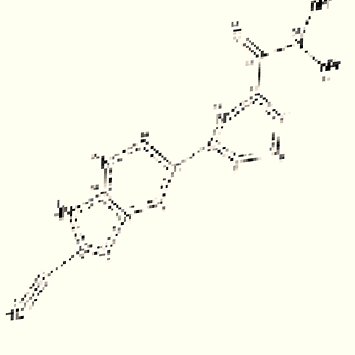 C#Cc1cc2cc(-c3cccc(C(=O)N(CCC)CCC)n3)cnc2[nH]1